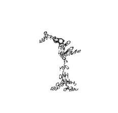 COC(=O)[C@H](CNC(=O)c1ccc2c(cnn2CCCN(C(=O)OC(C)(C)C)c2ccccn2)c1)NS(=O)(=O)c1c(C)cc(OCCCC(=O)NCCNC(=O)C(CCC(=O)OC(C)(C)C)NC(=O)[C@@H](N)CCC(=O)OC(C)(C)C)cc1C